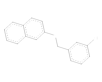 Clc1cccc(CSc2ccc3ccccc3c2)c1